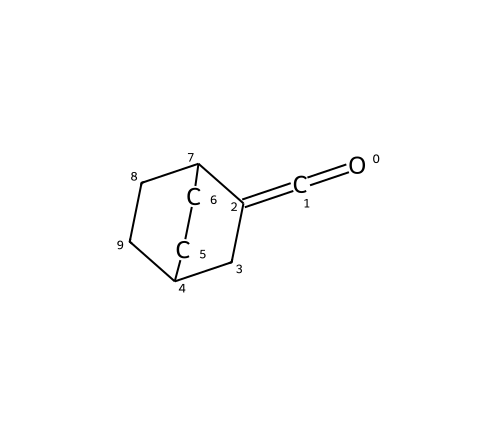 O=C=C1CC2CCC1CC2